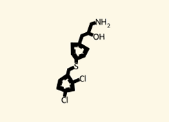 NCC(O)Cc1ccc(SCc2ccc(Cl)cc2Cl)cc1